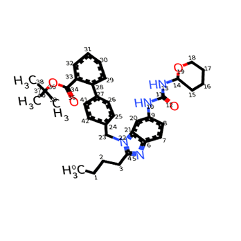 CCCCc1nc2ccc(NC(=O)NC3CCCCO3)cc2n1Cc1ccc(-c2ccccc2C(=O)OC(C)(C)C)cc1